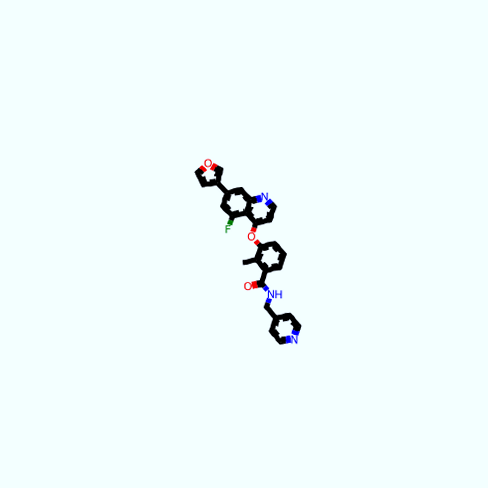 Cc1c(Oc2ccnc3cc(-c4ccoc4)cc(F)c23)cccc1C(=O)NCc1ccncc1